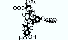 CC(=O)OCC1=C(C(=O)[O-])N2C(=O)[C@@H](NC(=O)C(NC(=O)c3c(C)oc4cc(O)c(O)cc4c3=O)c3ccc(OCC(=O)[O-])cc3)[C@@H]2SC1.[Na+].[Na+]